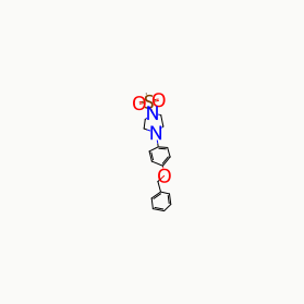 CS(=O)(=O)N1CCN(c2ccc(OCc3ccccc3)cc2)CC1